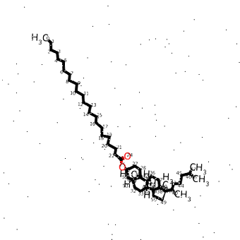 CCCCCCCCCCCCCCCCCCCCCCCC(=O)O[C@H]1CC[C@@]2(C)[C@@H](CC[C@@H]3[C@@H]2CC[C@]2(C)[C@@H]([C@H](C)CCCC(C)C)CC[C@@H]32)C1